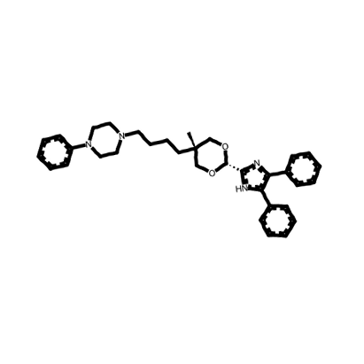 C[C@]1(CCCCN2CCN(c3ccccc3)CC2)CO[C@@H](c2nc(-c3ccccc3)c(-c3ccccc3)[nH]2)OC1